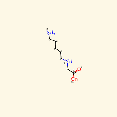 NCCCCCNCC(=O)O